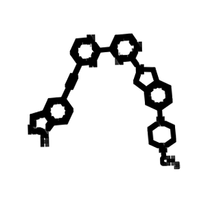 CN1CCN(c2ccc3c(c2)CN(c2nccc(-c4nccc(C#Cc5ccc6[nH]ncc6c5)n4)n2)C3)CC1